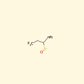 [CH2]CCC(CC(F)(F)F)[S+]=O